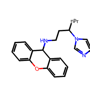 CCCC(CCNC1c2ccccc2Oc2ccccc21)n1ccnc1